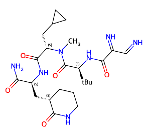 CN(C(=O)[C@@H](NC(=O)C(=N)C=N)C(C)(C)C)[C@@H](CC1CC1)C(=O)N[C@@H](C[C@@H]1CCCNC1=O)C(N)=O